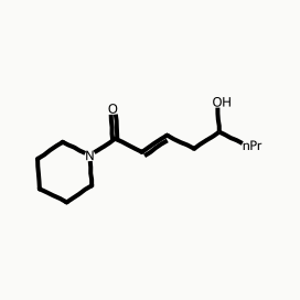 CCCC(O)C/C=C/C(=O)N1CCCCC1